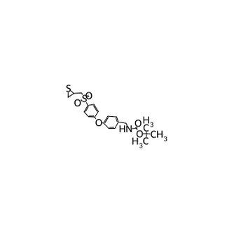 CC(C)(C)OC(=O)NCc1ccc(Oc2ccc(S(=O)(=O)CC3CS3)cc2)cc1